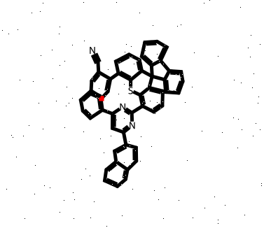 N#Cc1ccccc1-c1cccc2c1Sc1c(-c3nc(-c4ccccc4)cc(-c4ccc5ccccc5c4)n3)cccc1C21c2ccccc2-c2ccccc21